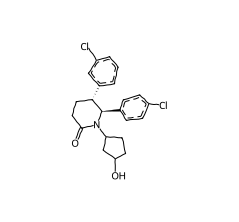 O=C1CC[C@H](c2cccc(Cl)c2)[C@@H](c2ccc(Cl)cc2)N1C1CCC(O)C1